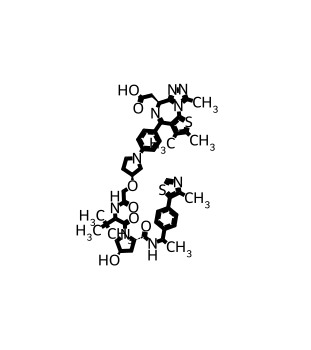 Cc1ncsc1-c1ccc(C(C)NC(=O)[C@@H]2C[C@@H](O)CN2C(=O)C(NC(=O)CO[C@H]2CCN(c3ccc(C4=N[C@@H](CC(=O)O)c5nnc(C)n5-c5sc(C)c(C)c54)cc3)C2)C(C)(C)C)cc1